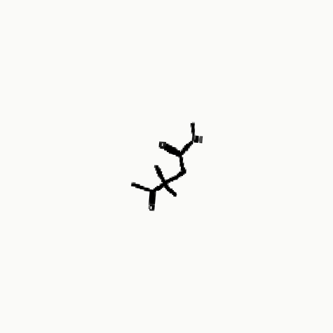 CNC(=O)CC(C)(C)C(C)=O